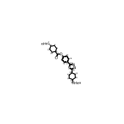 CCCCCCC1CCC(C(=O)Oc2ccc(-c3nnc(C4CCC(CCCCCC)CC4)s3)cc2)CC1